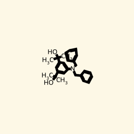 CC(C)(O)c1cc(N(Cc2ccccc2)Cc2ccccc2)cc(C(C)(C)O)c1